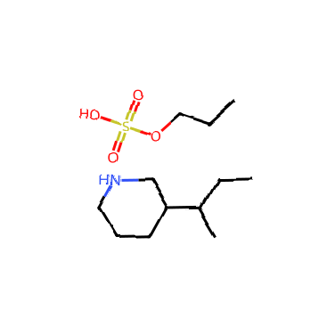 CCC(C)C1CCCNC1.CCCOS(=O)(=O)O